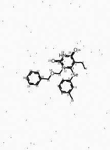 CCc1c([Se]c2cccc(C)c2)n(COCc2ccccc2)c(=O)[nH]c1=O